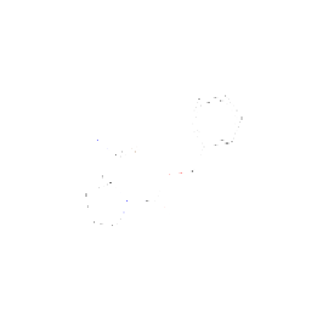 NC(=S)[C@H]1CCCN1C(=O)OCc1ccccc1